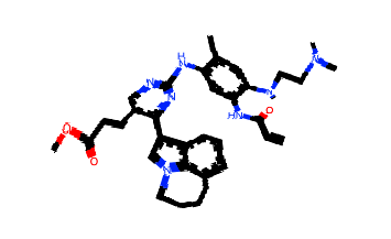 C=CC(=O)Nc1cc(Nc2ncc(CCC(=O)OC)c(-c3cn4c5c(cccc35)CCC4)n2)c(C)cc1N(C)CCN(C)C